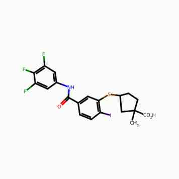 CC1(C(=O)O)CCC(Sc2cc(C(=O)Nc3cc(F)c(F)c(F)c3)ccc2I)C1